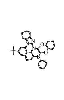 CC(C)(C)c1cc2ccc3c4c2c(c1)n1c2ccccc2nc1n4C1=C(Oc2ccccc2O1)B3c1ccccc1